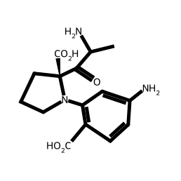 CC(N)C(=O)[C@@]1(C(=O)O)CCCN1c1cc(N)ccc1C(=O)O